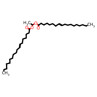 CCCCCCCCC/C=C/CCCCCCC(=O)OC(C)OC(=O)CCCCC/C=C/CCCCCCCCCC